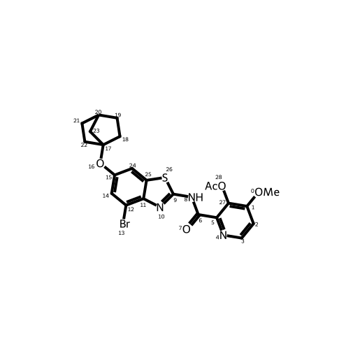 COc1ccnc(C(=O)Nc2nc3c(Br)cc(OC45CCC(CC4)C5)cc3s2)c1OC(C)=O